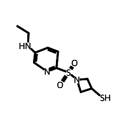 CCNc1ccc(S(=O)(=O)N2CC(S)C2)nc1